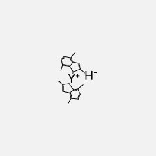 CC1=Cc2c(C)ccc(C)c2[CH]1[Y+][CH]1C(C)=Cc2c(C)ccc(C)c21.[H-]